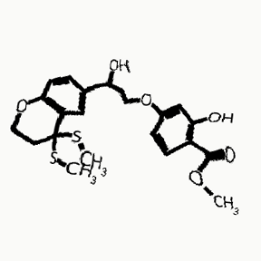 COC(=O)c1ccc(OCC(O)c2ccc3c(c2)C(SC)(SC)CCO3)cc1O